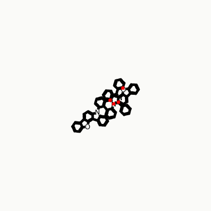 c1ccc(-c2cc(-c3cccc(-n4c5ccccc5c5c6oc7ccccc7c6ccc54)c3-c3ccccc3-n3c4ccccc4c4c5oc6ccccc6c5ccc43)nc(-c3ccccc3)n2)cc1